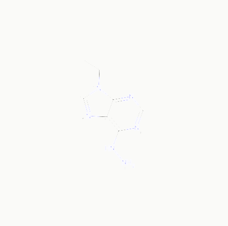 CCn1cnc2c(NN)ncnc21